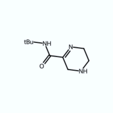 CC(C)(C)NC(=O)C1=NCCNC1